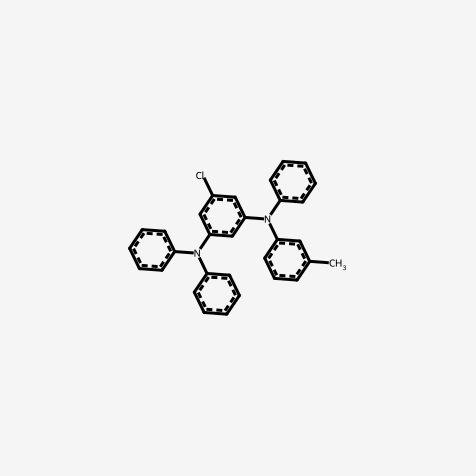 Cc1cccc(N(c2ccccc2)c2cc(Cl)cc(N(c3ccccc3)c3ccccc3)c2)c1